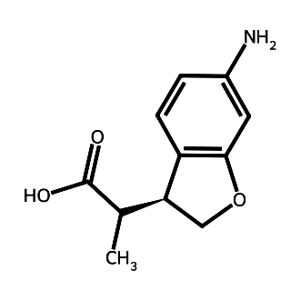 CC(C(=O)O)[C@@H]1COc2cc(N)ccc21